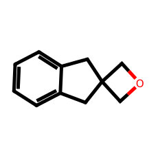 c1ccc2c(c1)CC1(COC1)C2